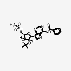 CC1(C)O[C@@H]2[C@H](O1)[C@@H](COS(N)(=O)=O)O[C@H]2n1cnc2c(NC(=O)c3ccccc3)ncnc21